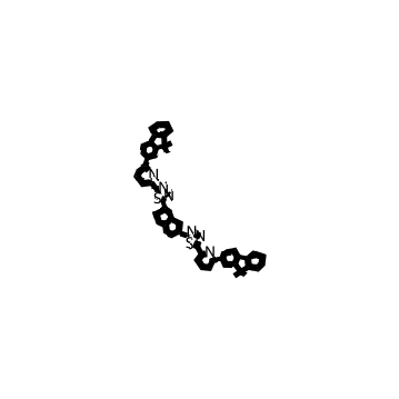 CC1(C)c2ccccc2-c2ccc(-c3cccc(-c4nnc(-c5ccc6ccc(-c7nnc(-c8cccc(-c9ccc%10c(c9)C(C)(C)c9ccccc9-%10)n8)s7)cc6c5)s4)n3)cc21